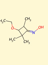 CCOC1C(C)C(=NO)C1(C)C